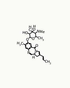 C/C=C/C1=CN2C(=O)c3cc(OC4OC(C)C(NC)C(C)(O)C4O)c(C)cc3N=C[C@@H]2C1